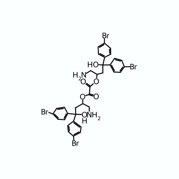 NCC(CC(O)(c1ccc(Br)cc1)c1ccc(Br)cc1)OC(=O)C(=O)OC(CN)CC(O)(c1ccc(Br)cc1)c1ccc(Br)cc1